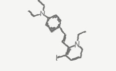 CCN1CC=CC(I)=C1C=Cc1ccc(N(CC)CC)cc1